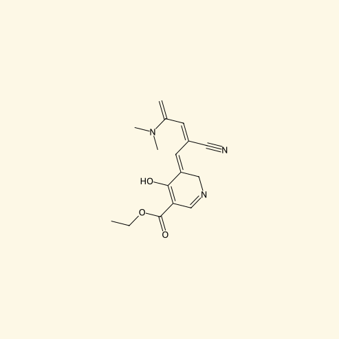 C=C(/C=C(C#N)\C=C1/CN=CC(C(=O)OCC)=C1O)N(C)C